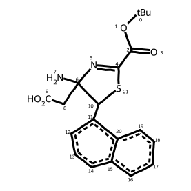 CC(C)(C)OC(=O)C1=NC(N)(CC(=O)O)C(c2cccc3ccccc23)S1